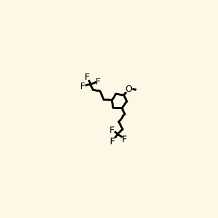 COC1CC(CCCC(F)(F)F)CC(CCCC(F)(F)F)C1